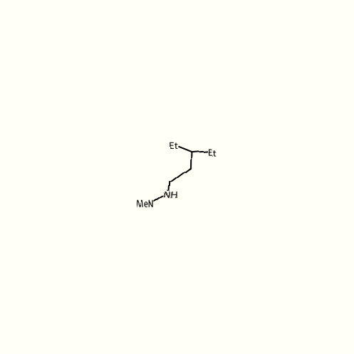 CCC(CC)CCNNC